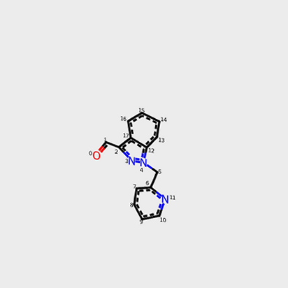 O=Cc1nn(Cc2ccccn2)c2ccccc12